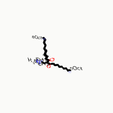 CCCCCCCC/C=C\CCCCCCCC(=O)C(CC[N+](C)(C)C)C(=O)CCCCCCC/C=C\CCCCCCCC